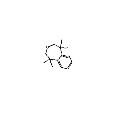 CC1(C)COCC(C)(C)c2ccccc21